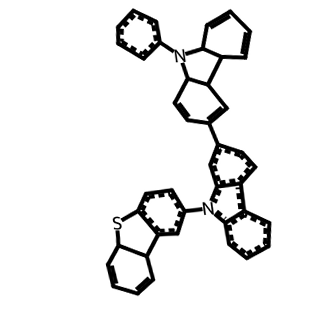 C1=CC2Sc3ccc(-n4c5ccccc5c5ccc(C6=CC7C8C=CC=CC8N(c8ccccc8)C7C=C6)cc54)cc3C2C=C1